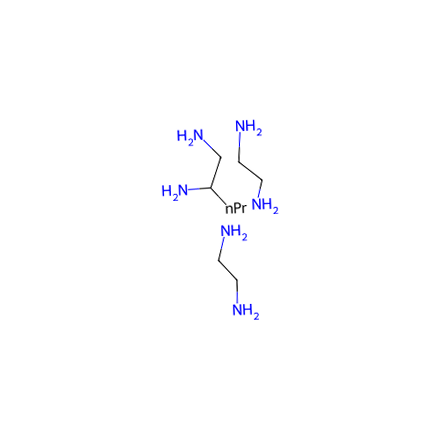 CCCC(N)CN.NCCN.NCCN